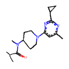 Cc1cc(N2CCC(N(C)C(=O)C(C)C)CC2)nc(C2CC2)n1